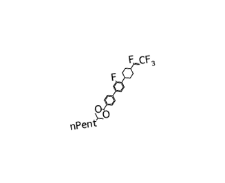 CCCCCC1COC(c2ccc(-c3ccc(C4CCC(/C(F)=C/C(F)(F)F)CC4)c(F)c3)cc2)OC1